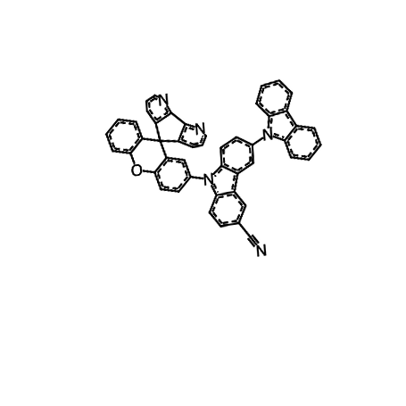 N#Cc1ccc2c(c1)c1cc(-n3c4ccccc4c4ccccc43)ccc1n2-c1ccc2c(c1)C1(c3ccccc3O2)c2cccnc2-c2ncccc21